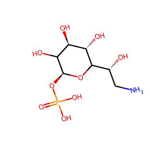 NC[C@@H](O)C1O[C@@H](OP(=O)(O)O)C(O)[C@@H](O)[C@@H]1O